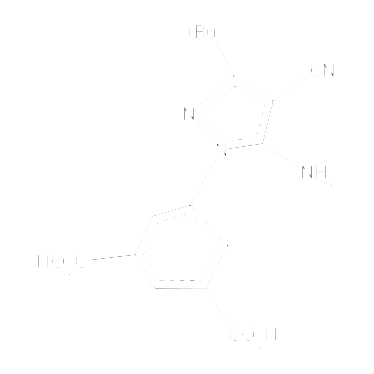 CC(C)(C)c1nn(-c2cc(C(=O)O)cc(C(=O)O)c2)c(N)c1C#N